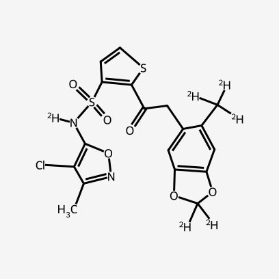 [2H]N(c1onc(C)c1Cl)S(=O)(=O)c1ccsc1C(=O)Cc1cc2c(cc1C([2H])([2H])[2H])OC([2H])([2H])O2